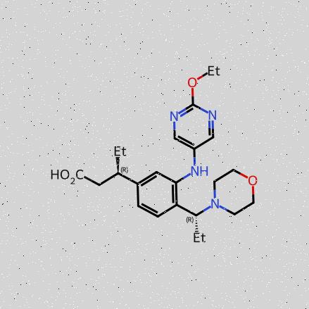 CCOc1ncc(Nc2cc([C@H](CC)CC(=O)O)ccc2[C@@H](CC)N2CCOCC2)cn1